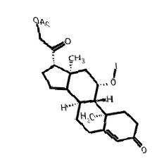 CC(=O)OCC(=O)[C@H]1CCC2[C@@H]3CCC4=CC(=O)CC[C@]4(C)[C@H]3[C@@H](OI)C[C@@]21C